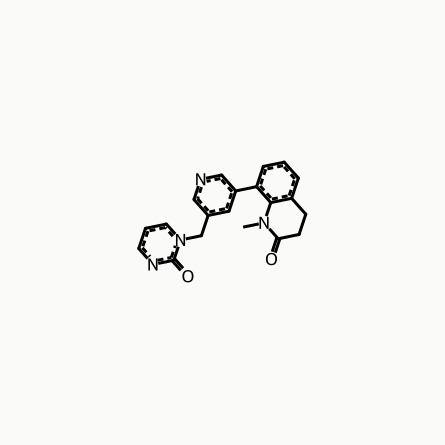 CN1C(=O)CCc2cccc(-c3cncc(Cn4cccnc4=O)c3)c21